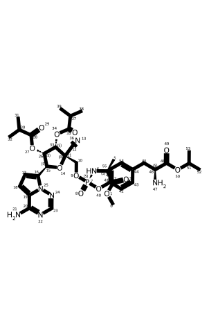 COC(=O)[C@H](C)N[P@](=O)(OC[C@@]1(C#N)O[C@@H](c2ccc3c(N)ncnn23)[C@H](OC(=O)C(C)C)[C@@H]1OC(=O)C(C)C)Oc1ccc(C[C@H](N)C(=O)OC(C)C)cc1